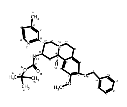 COc1cc2c(cc1OCc1ccccc1)CCN1C[C@@H](c3cc(C)ccn3)[C@H](NC(=O)OC(C)(C)C)C[C@H]21